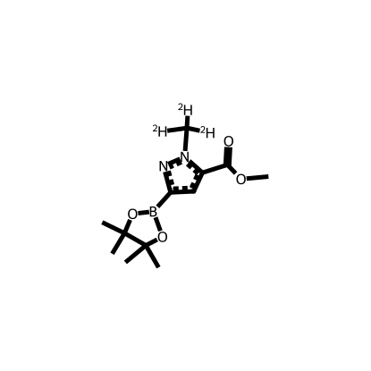 [2H]C([2H])([2H])n1nc(B2OC(C)(C)C(C)(C)O2)cc1C(=O)OC